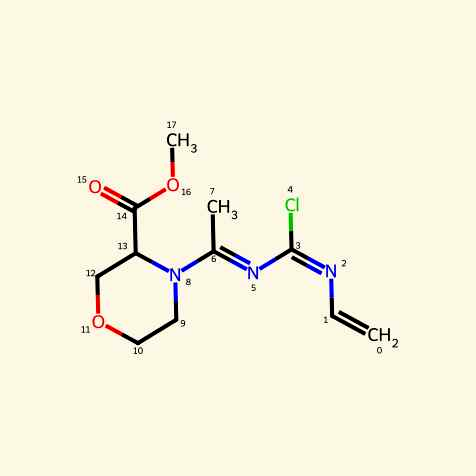 C=C/N=C(Cl)\N=C(/C)N1CCOCC1C(=O)OC